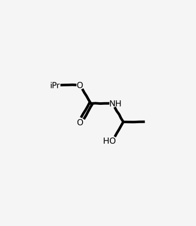 CC(O)NC(=O)OC(C)C